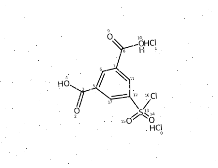 Cl.Cl.O=C(O)c1cc(C(=O)O)cc(S(=O)(=O)Cl)c1